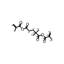 C=C(C)C(=O)OC(=O)CCC(C)(C)C(=O)OC(=O)C(=C)C